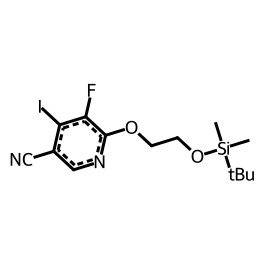 CC(C)(C)[Si](C)(C)OCCOc1ncc(C#N)c(I)c1F